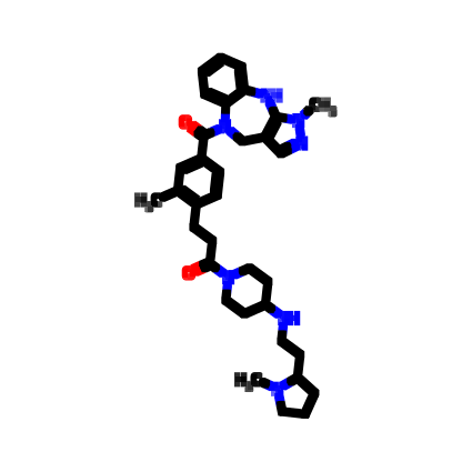 Cc1cc(C(=O)N2Cc3cnn(C)c3Nc3ccccc32)ccc1CCC(=O)N1CCC(NCCC2CCCN2C)CC1